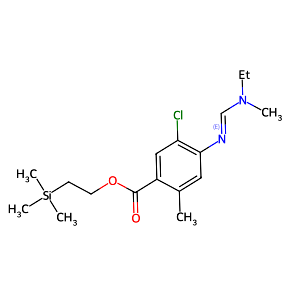 CCN(C)/C=N/c1cc(C)c(C(=O)OCC[Si](C)(C)C)cc1Cl